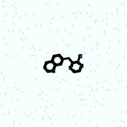 Clc1nccnc1Cc1ccc2cccnc2c1